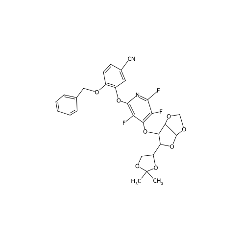 CC1(C)OCC(C2OC3OCOC3C2Oc2c(F)c(F)nc(Oc3cc(C#N)ccc3OCc3ccccc3)c2F)O1